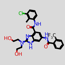 Cc1c(Cl)cccc1NC(=O)c1cc(NC(=O)c2ccccc2C(F)(F)F)cc2[nH]c(N(CCO)CCO)nc12